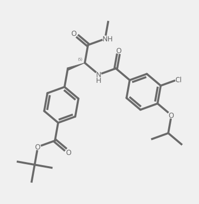 CNC(=O)[C@H](Cc1ccc(C(=O)OC(C)(C)C)cc1)NC(=O)c1ccc(OC(C)C)c(Cl)c1